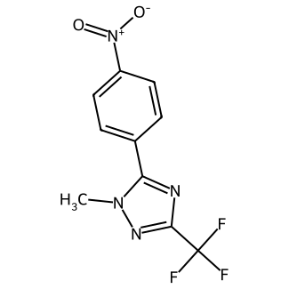 Cn1nc(C(F)(F)F)nc1-c1ccc([N+](=O)[O-])cc1